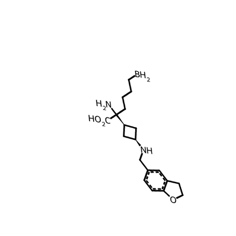 BCCCCC(N)(C(=O)O)[C@H]1C[C@@H](NCc2ccc3c(c2)CCO3)C1